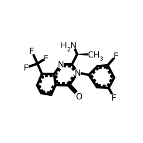 C[C@H](N)c1nc2c(C(F)(F)F)cccc2c(=O)n1-c1cc(F)cc(F)c1